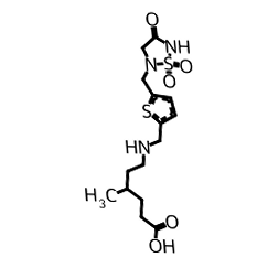 CC(CCNCc1ccc(CN2CC(=O)NS2(=O)=O)s1)CCC(=O)O